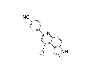 N#Cc1ccc(-c2cc(C3CC3)c3c(ccc4[nH]ncc43)n2)cc1